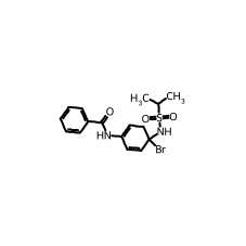 CC(C)S(=O)(=O)NC1(Br)C=CC(NC(=O)c2ccccc2)=CC1